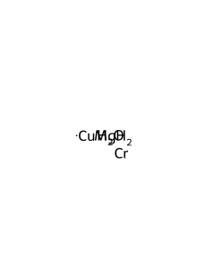 O.[Cr].[Cu].[MgH2]